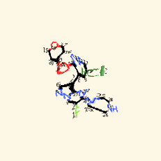 Cl.Fc1cn2ncc(-c3cccnc3OC3CCOCC3)c2nc1N1CCNCC1